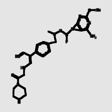 CCCCOc1nc(N)c2c(n1)N2N(F)ON(C)Cc1ccc(/C(C=N)=C/NCC(=O)N2CCNCC2)cc1